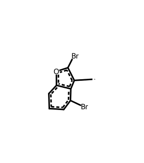 [CH2]c1c(Br)oc2cccc(Br)c12